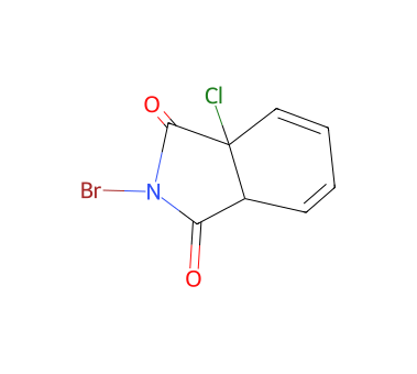 O=C1C2C=CC=CC2(Cl)C(=O)N1Br